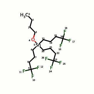 CCCC[O][Sn]([CH2]CCC(F)(F)F)([CH2]CCC(F)(F)F)[CH2]CCC(F)(F)F